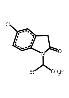 CCC(C(=O)O)N1C(=O)Cc2cc(Cl)ccc21